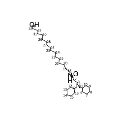 O=C(CCN(C1CCCCC1)C1CCCCC1)NCCCCCCCCCCCCCCCCO